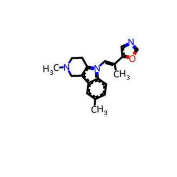 C/C(=C\n1c2c(c3cc(C)ccc31)CN(C)CC2)c1cnco1